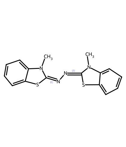 Cn1/c(=N/N=c2/sc3ccccc3n2C)sc2ccccc21